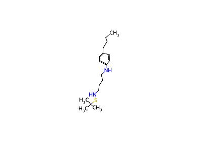 CCCCc1ccc(NCCCCNSC(C)(C)C)cc1